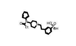 CCC(=O)N(c1ccccc1)C1CCN(CCc2cccc(P(=O)(O)O)c2)CC1